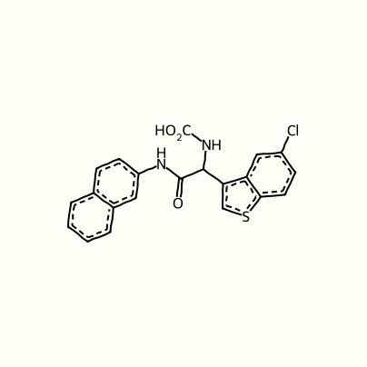 O=C(O)NC(C(=O)Nc1ccc2ccccc2c1)c1csc2ccc(Cl)cc12